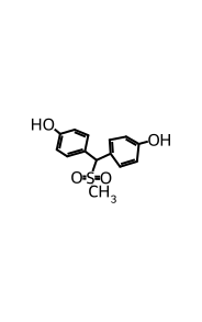 CS(=O)(=O)C(c1ccc(O)cc1)c1ccc(O)cc1